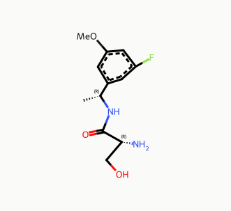 COc1cc(F)cc([C@@H](C)NC(=O)[C@H](N)CO)c1